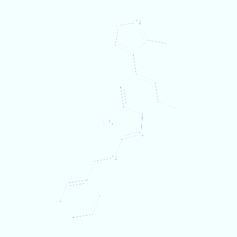 Cc1noc(C)c1-c1cc(C)c2nc(NCc3ccccc3)[nH]c2c1